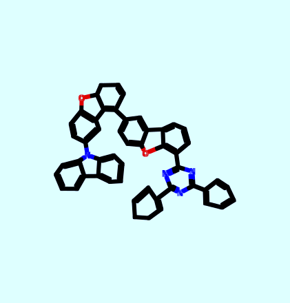 C1=CC(c2nc(-c3ccccc3)nc(-c3cccc4c3oc3ccc(C5=C6c7cc(-n8c9ccccc9c9ccccc98)ccc7OC6CC=C5)cc34)n2)=CCC1